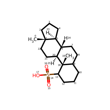 C[C@@]12CCC[C@H]1[C@@H]1CCC3CCCC(S(=O)(=O)O)[C@]3(C)[C@H]1CC2